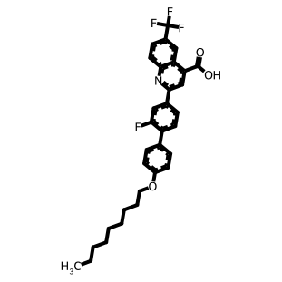 CCCCCCCCCOc1ccc(-c2ccc(-c3cc(C(=O)O)c4cc(C(F)(F)F)ccc4n3)cc2F)cc1